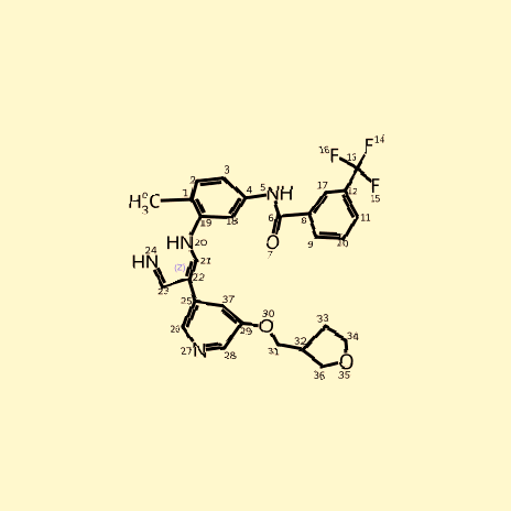 Cc1ccc(NC(=O)c2cccc(C(F)(F)F)c2)cc1N/C=C(\C=N)c1cncc(OCC2CCOC2)c1